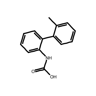 Cc1ccccc1-c1ccccc1NC(=O)O